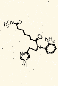 NC(=O)CCCCCC(=O)N(CCc1c[nH]cn1)c1ccccc1N